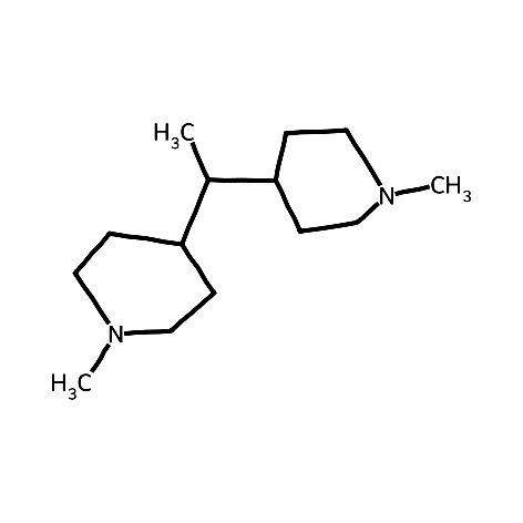 CC(C1CCN(C)CC1)C1CCN(C)CC1